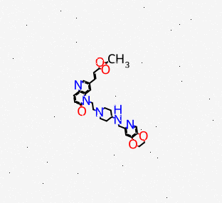 CC1OC(/C=C/c2cnc3ccc(=O)n(CCN4CCC(NCc5cc6c(cn5)OCCO6)CC4)c3c2)O1